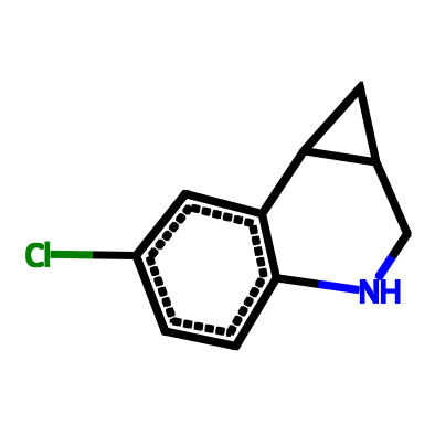 Clc1ccc2c(c1)C1CC1CN2